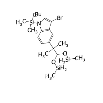 C[SiH2]OC(O[SiH2]C)C(C)(C)c1ccc2c(c1)c(Br)cn2[Si](C)(C)C(C)(C)C